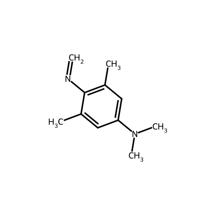 C=Nc1c(C)cc(N(C)C)cc1C